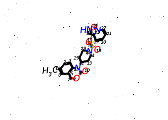 Cc1ccc2c(c1)COC(=O)N2C1CCN(S(=O)(=O)C2=CC=CN3ONC=C23)CC1